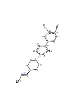 CC/C=C/[C@H]1CC[C@H](c2cnc(-c3ccc(F)c(F)c3)nc2)CC1